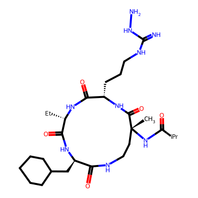 CC[C@@H]1NC(=O)[C@H](CCCNC(=N)NN)NC(=O)[C@](C)(NC(=O)C(C)C)CCNC(=O)[C@@H](CC2CCCCC2)NC1=O